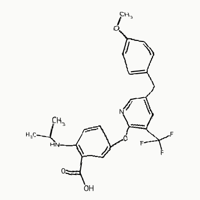 COc1ccc(Cc2cnc(Oc3ccc(NC(C)C)c(C(=O)O)c3)c(C(F)(F)F)c2)cc1